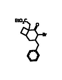 CCOC(=O)CC12CCC1CC(Cc1ccccc1)C(Br)C2=O